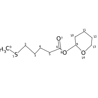 CSCCCCC(=O)OC1CCCCO1